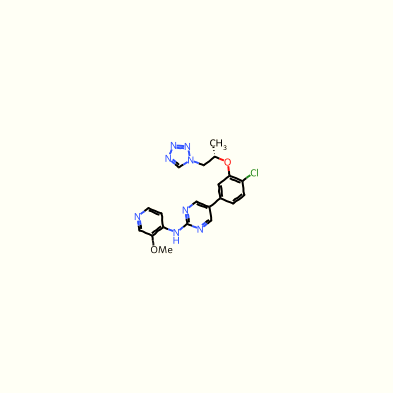 COc1cnccc1Nc1ncc(-c2ccc(Cl)c(O[C@@H](C)Cn3cnnn3)c2)cn1